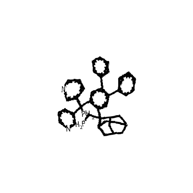 PCC1(c2cc(-c3ccccc3)c(-c3ccccc3)cc2C(P)(c2cccnc2)c2cccnc2)C2CC3CC(C2)CC1C3